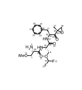 COC[C@H](N)C(=O)N[C@@H](COC(F)F)C(=O)N[C@@H](Cc1ccccc1)C(=O)[C@]1(C)CO1